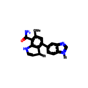 CCC1C=CNc2c(C(N)=O)c(OC)cc(-c3ccc4c(c3)ncn4CC)c21